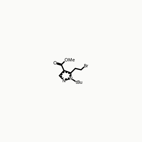 COC(=O)c1cnn(C(C)(C)C)c1CCBr